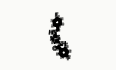 O=C(Nc1nnc(NCc2ccc(F)cc2)s1)c1ccc(F)cc1F